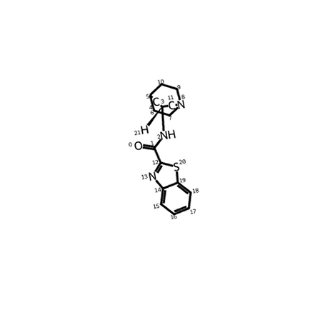 O=C(N[C@@H]1CC2CCN(CC2)C1)c1nc2ccccc2s1